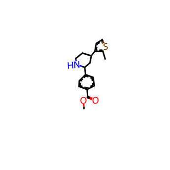 COC(=O)c1ccc(C2CC(c3ccsc3C)CCN2)cc1